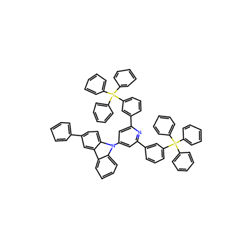 c1ccc(-c2ccc3c(c2)c2ccccc2n3-c2cc(-c3cccc(S(c4ccccc4)(c4ccccc4)c4ccccc4)c3)nc(-c3cccc(S(c4ccccc4)(c4ccccc4)c4ccccc4)c3)c2)cc1